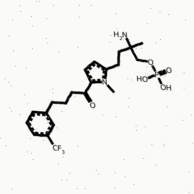 Cn1c(CCC(C)(N)COP(=O)(O)O)ccc1C(=O)CCCc1cccc(C(F)(F)F)c1